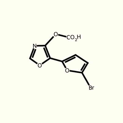 O=C(O)Oc1ncoc1-c1ccc(Br)o1